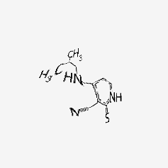 CC(C)CNc1cc[nH]c(=S)c1C#N